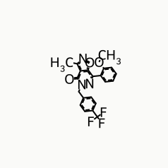 COc1ccccc1-c1nn(Cc2ccc(C(F)(F)F)cc2)c(=O)c2c(C)noc12